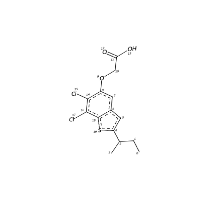 CCC(C)c1cc2cc(OCC(=O)O)c(Cl)c(Cl)c2s1